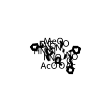 COC(=O)[C@H](CC[C@@H](C[C@H]1O[C@@H](n2cnc3c(NC(=O)c4ccccc4)ncnc32)[C@@H](OC(C)=O)C1OC(C)=O)N(Cc1ccccc1)C(=O)OCc1ccccc1)N=COC(F)(F)F